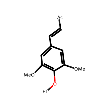 CCOc1c(OC)cc(/C=C/C(C)=O)cc1OC